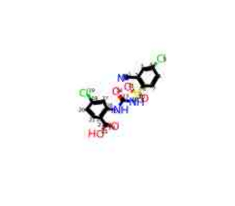 N#Cc1cc(Cl)ccc1S(=O)(=O)NC(=O)Nc1cc(Cl)ccc1C(=O)O